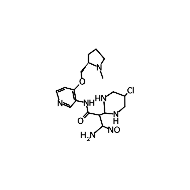 CN1CCC[C@@H]1COc1ccncc1NC(=O)C(C(N)N=O)C1NCC(Cl)CN1